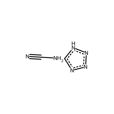 N#CN.c1nnn[nH]1